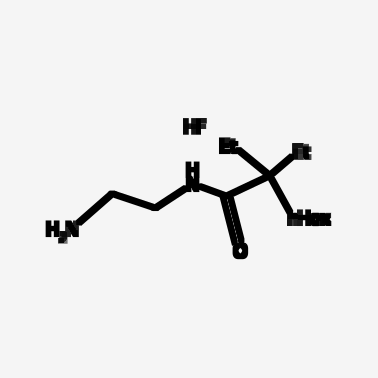 CCCCCCC(CC)(CC)C(=O)NCCN.F